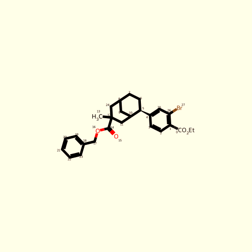 CCOC(=O)c1ccc([C@@H]2CCC3CC2CC(C)(C(=O)OCc2ccccc2)C3)cc1Br